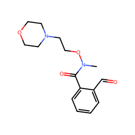 CN(OCCN1CCOCC1)C(=O)c1ccccc1C=O